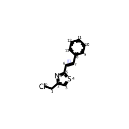 ClCc1csc(/C=C/c2ccccc2)n1